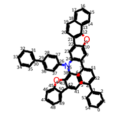 c1ccc(-c2ccc(-c3cc4oc5c6ccccc6ccc5c4cc3N(c3ccc(-c4ccccc4)cc3)c3cccc4c3oc3ccccc34)cc2)cc1